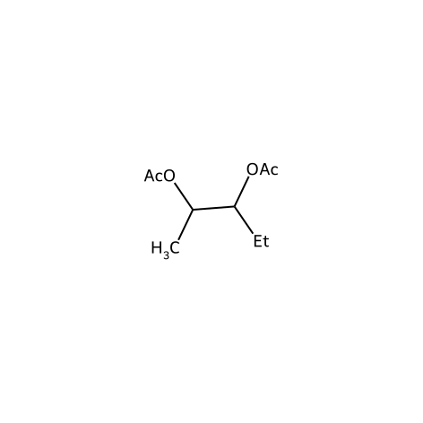 CCC(OC(C)=O)C(C)OC(C)=O